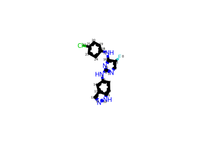 Fc1cnc(Nc2ccc3[nH]ncc3c2)nc1Nc1ccc(Cl)cc1